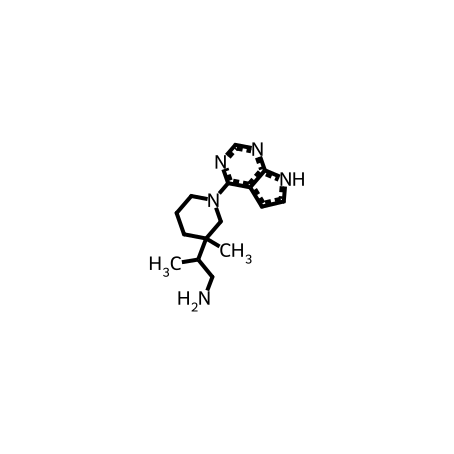 CC(CN)C1(C)CCCN(c2ncnc3[nH]ccc23)C1